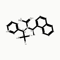 C[C@H](c1cccc2ccccc12)N(C(=O)O)[C@H](c1cccnc1)C(F)(F)F